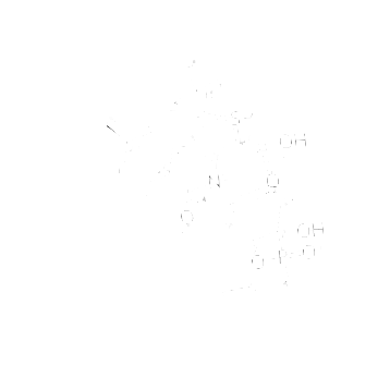 CCOP(C)(=O)C1(O)CCC(N(c2cc(C(C)(C)C)sc2C(=O)O)C(=O)[C@H]2CC[C@H](C)CC2)CC1